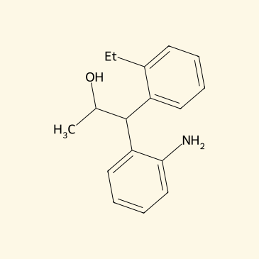 CCc1ccccc1C(c1ccccc1N)C(C)O